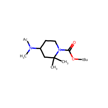 CC(=O)N(C)C1CCN(C(=O)OC(C)(C)C)C(C)(C)C1